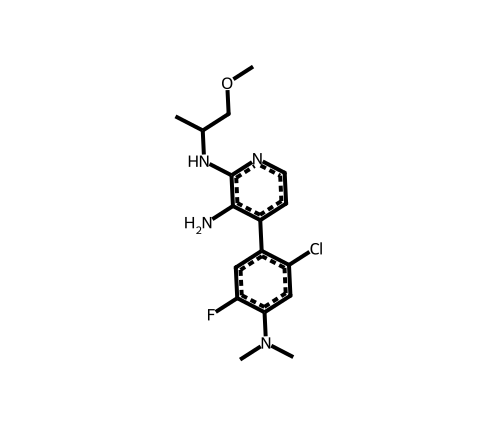 COCC(C)Nc1nccc(-c2cc(F)c(N(C)C)cc2Cl)c1N